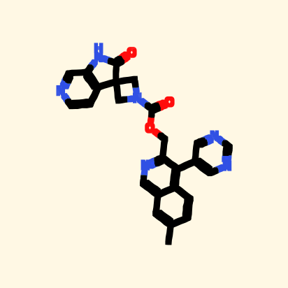 Cc1ccc2c(-c3cncnc3)c(COC(=O)N3CC4(C3)C(=O)Nc3cnccc34)ncc2c1